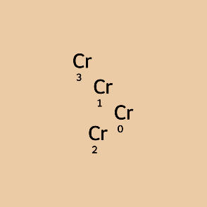 [Cr].[Cr].[Cr].[Cr]